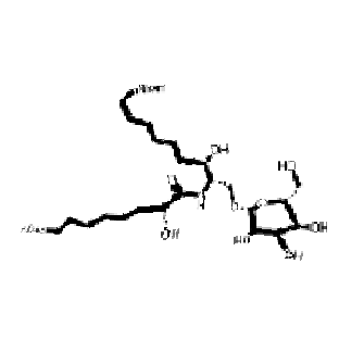 CCCCCCCCC/C=C\CCCC[C@@H](O)[C@H](CO[C@@H]1O[C@H](CO)[C@@H](O)C(O)C1O)NC(=O)[C@H](O)CCCCCCCCCCCCCCCC